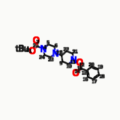 CC(C)(C)OC(=O)N1CCN(C2CCN(OC(=O)c3ccccc3)CC2)CC1